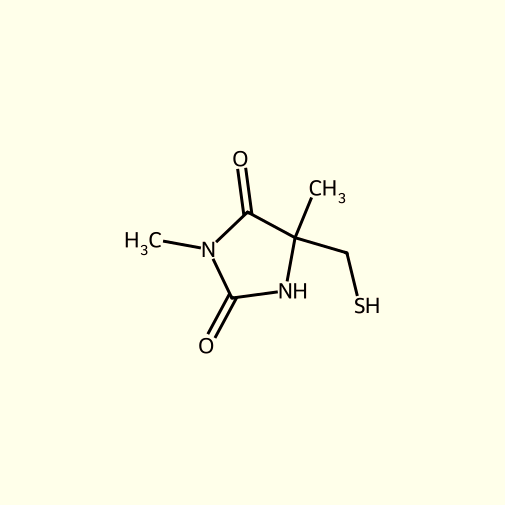 CN1C(=O)NC(C)(CS)C1=O